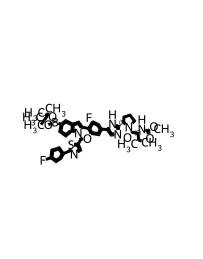 COC(=O)N[C@H](C(=O)N1CCC[C@H]1c1ncc(-c2cc(F)c3c(c2)OC(c2cnc(-c4ccc(F)cc4)s2)n2c-3cc3cc(B4OC(C)(C)C(C)(C)O4)ccc32)[nH]1)C(C)C